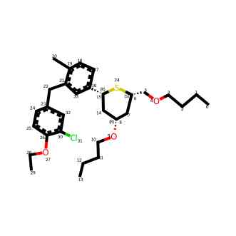 CCCCOC[C@@H]1C[C@H](OCCCC)C[C@H](c2ccc(C)c(Cc3ccc(OCC)c(Cl)c3)c2)S1